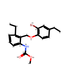 CCc1ccc(OCc2c(CC)cccc2NC(=O)OC)c(Br)c1